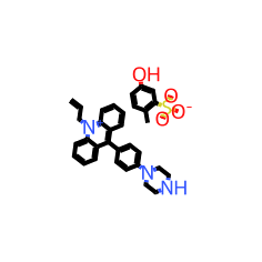 C=CC[n+]1c2ccccc2c(-c2ccc(N3CCNCC3)cc2)c2ccccc21.Cc1ccc(O)cc1S(=O)(=O)[O-]